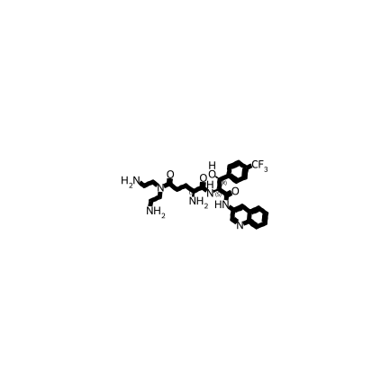 NCCN(CCN)C(=O)CC[C@H](N)C(=O)N[C@H](C(=O)Nc1cnc2ccccc2c1)[C@H](O)c1ccc(C(F)(F)F)cc1